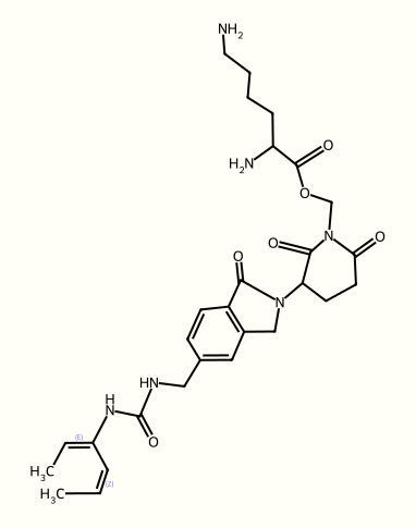 C/C=C\C(=C/C)NC(=O)NCc1ccc2c(c1)CN(C1CCC(=O)N(COC(=O)C(N)CCCCN)C1=O)C2=O